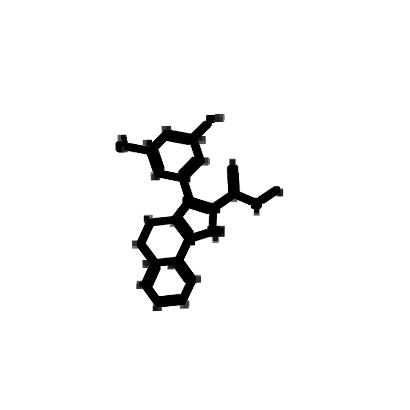 COC(=O)c1[nH]c2c(c1-c1cc(F)cc(Cl)c1)CCc1ccccc1-2